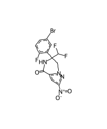 O=C1NC(c2cc(Br)ccc2F)(C(F)F)Cn2nc([N+](=O)[O-])cc21